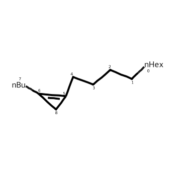 [CH2]CCCCCCCCCC1=C(CCCC)C1